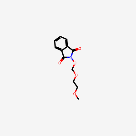 COCCOCON1C(=O)c2ccccc2C1=O